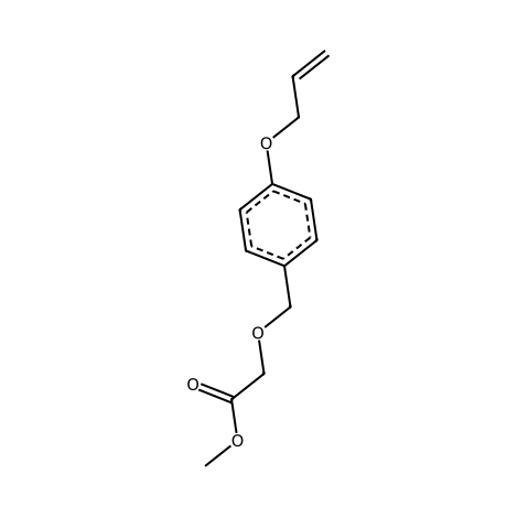 C=CCOc1ccc(COCC(=O)OC)cc1